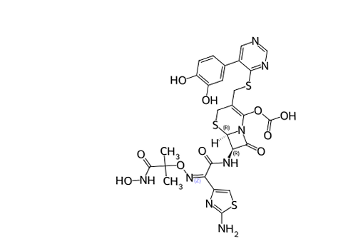 CC(C)(O/N=C(\C(=O)N[C@@H]1C(=O)N2C(OC(=O)O)=C(CSc3ncncc3-c3ccc(O)c(O)c3)CS[C@H]12)c1csc(N)n1)C(=O)NO